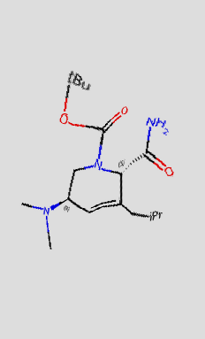 CC(C)C1=C[C@@H](N(C)C)CN(C(=O)OC(C)(C)C)[C@@H]1C(N)=O